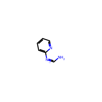 N/C=N\c1ccccn1